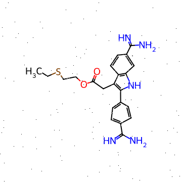 CCSCCOC(=O)Cc1c(-c2ccc(C(=N)N)cc2)[nH]c2cc(C(=N)N)ccc12